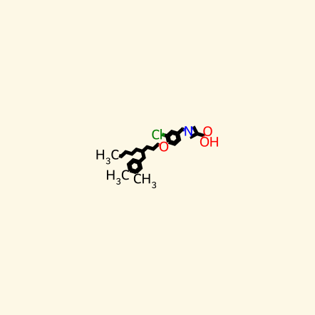 CCCCCC(CCCOc1ccc(CN2CC(C(=O)O)C2)cc1Cl)Cc1ccc(C)c(C)c1